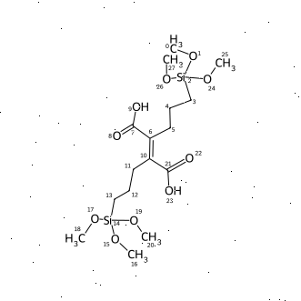 CO[Si](CCC/C(C(=O)O)=C(/CCC[Si](OC)(OC)OC)C(=O)O)(OC)OC